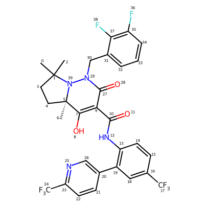 CC1(C)CC[C@]2(C)C(O)=C(C(=O)Nc3ccc(C(F)(F)F)cc3-c3ccc(C(F)(F)F)nc3)C(=O)N(Cc3cccc(F)c3F)N12